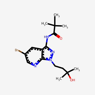 CC(C)(O)CCn1nc(NC(=O)C(C)(C)C)c2cc(Br)cnc21